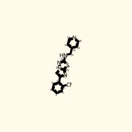 Clc1ccccc1-c1cn2nc(NCc3ccncc3)sc2n1